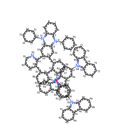 c1ccc(-n2c3ccccc3n(-c3ccccc3)c3cc4c(cc32)c2cccc(-n3c5ccccc5c5cc(-n6c7ccccc7c7ccccc76)ccc53)c2c2c(-n3c5ccccc5c5cc(-n6c7ccccc7c7ccccc76)ccc53)cccc2c2cccnc42)cc1